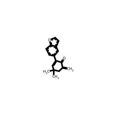 C=C1CC(C)(C)C=C(c2ccc3occc3c2)C1=O